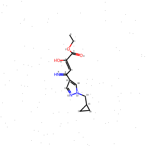 CCOC(=O)/C(O)=C/C(=N)c1cnn(CC2CC2)c1